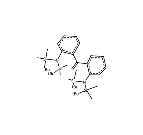 C=C(c1ccccc1N([Si](C)(C)C(C)(C)C)[Si](C)(C)C(C)(C)C)c1ccccc1N([Si](C)(C)C(C)(C)C)[Si](C)(C)C(C)(C)C